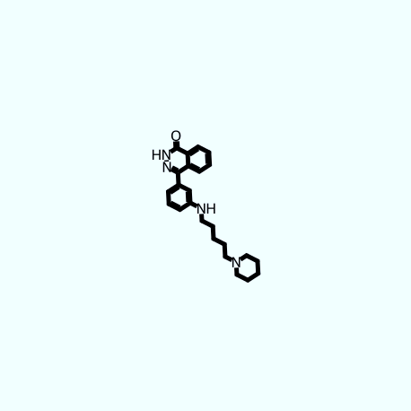 O=c1[nH]nc(-c2cccc(NCCCCCN3CCCCC3)c2)c2ccccc12